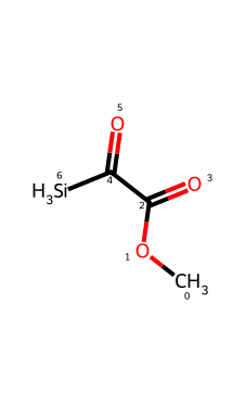 COC(=O)C(=O)[SiH3]